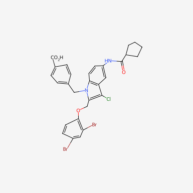 O=C(O)c1ccc(Cn2c(COc3ccc(Br)cc3Br)c(Cl)c3cc(NC(=O)C4CCCC4)ccc32)cc1